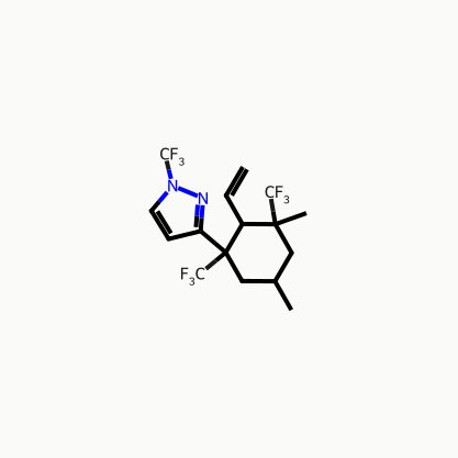 C=CC1C(C)(C(F)(F)F)CC(C)CC1(c1ccn(C(F)(F)F)n1)C(F)(F)F